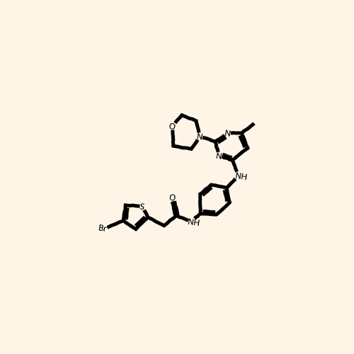 Cc1cc(Nc2ccc(NC(=O)Cc3cc(Br)cs3)cc2)nc(N2CCOCC2)n1